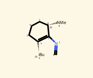 C=NC1=C([C@@H](C)CC)CCC[C@@H]1NC